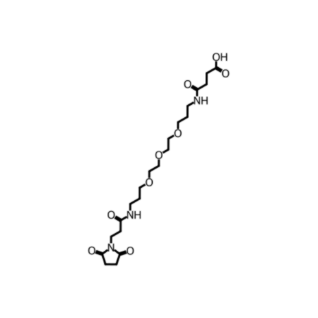 O=C(O)CCC(=O)NCCCOCCOCCOCCCNC(=O)CCN1C(=O)CCC1=O